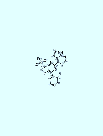 CCS(=O)(=O)n1ccc2c(N3CCOC[C@H]3C)nc(-c3ccnc4[nH]ccc34)nc21